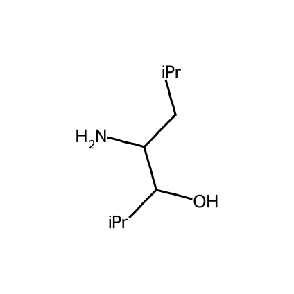 CC(C)CC(N)C(O)C(C)C